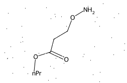 CCCOC(=O)CCON